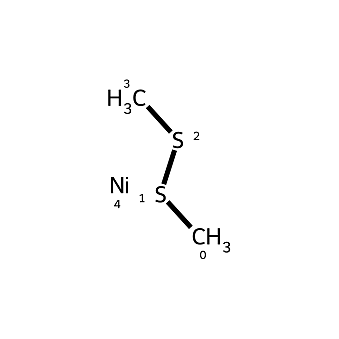 CSSC.[Ni]